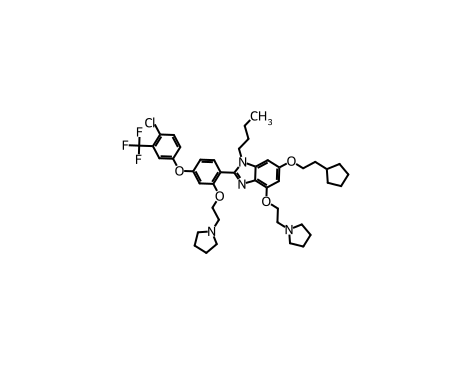 CCCCn1c(-c2ccc(Oc3ccc(Cl)c(C(F)(F)F)c3)cc2OCCN2CCCC2)nc2c(OCCN3CCCC3)cc(OCCC3CCCC3)cc21